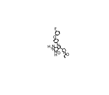 C=CC(=O)N1CCC(c2cn(-c3ccc(Oc4cccc(F)c4)cc3)c3c(N)n[nH]c(=O)c23)C1